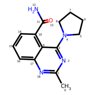 Cc1nc(N2CCCC2)c2c(C(N)=O)c[c]cc2n1